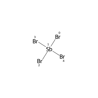 [Br][Sb]([Br])([Br])[Br]